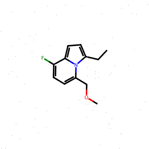 CCc1ccc2c(F)ccc(COC)n12